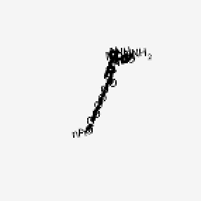 CCCOCCOCCOCCOCCOCCOCCC(=O)N1CCc2cc(Cn3nc(-c4ccc5oc(N)nc5c4)c4c(N)ncnc43)ccc2C1